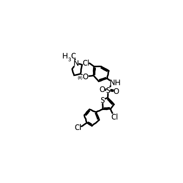 CN1CC[C@@H](Oc2cc(NS(=O)(=O)c3cc(Cl)c(-c4ccc(Cl)cc4)s3)ccc2Cl)C1